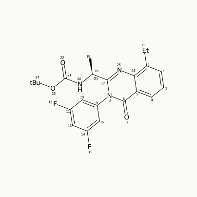 CCc1cccc2c(=O)n(-c3cc(F)cc(F)c3)c([C@H](C)NC(=O)OC(C)(C)C)nc12